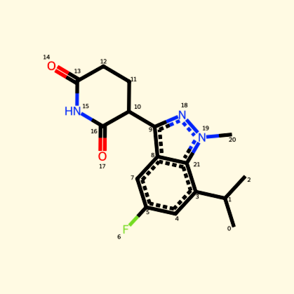 CC(C)c1cc(F)cc2c(C3CCC(=O)NC3=O)nn(C)c12